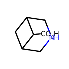 O=C(O)C1C2CNCC1C2